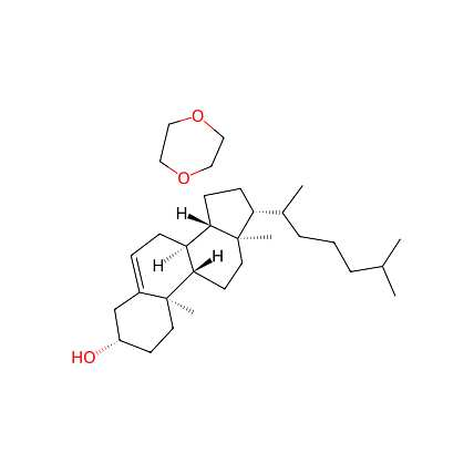 C1COCCO1.CC(C)CCCC(C)[C@H]1CC[C@H]2[C@@H]3CC=C4C[C@@H](O)CC[C@]4(C)[C@H]3CC[C@]12C